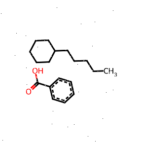 CCCCCC1CCCCC1.O=C(O)c1ccccc1